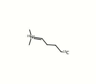 C[15N+](C)=CCCC[13CH3]